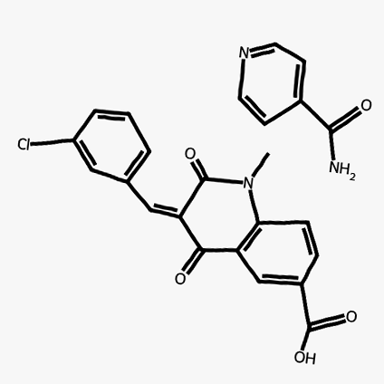 CN1C(=O)/C(=C\c2cccc(Cl)c2)C(=O)c2cc(C(=O)O)ccc21.NC(=O)c1ccncc1